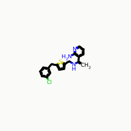 C=C(NCc1ccc(Cc2cccc(Cl)c2)s1)c1cccnc1N